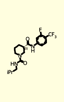 CC(C)CNC(=O)N1CCC[C@H](C(=O)Nc2ccc(C(F)(F)F)c(F)c2)C1